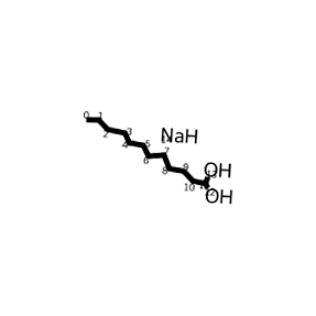 CCCCCCCCCCCC(O)O.[NaH]